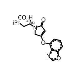 CC(C)C[C@@H](C(=O)O)N1CC(Oc2cccc3ocnc23)=CC1=O